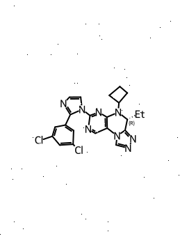 CC[C@@H]1c2nncn2-c2cnc(-n3ccnc3-c3cc(Cl)cc(Cl)c3)nc2N1C1CCC1